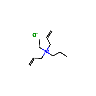 C=CC[N+](CC)(CC=C)CCC.[Cl-]